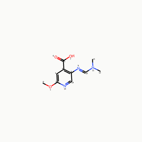 COc1cc(C(=O)O)c(N=CN(C)C)cn1